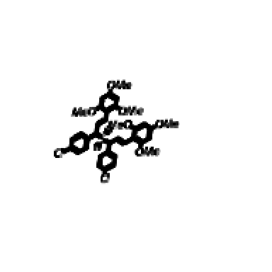 COc1cc(OC)c(C=CC(c2ccc(Cl)cc2)S(=O)(=O)C(C=Cc2c(OC)cc(OC)cc2OC)c2ccc(Cl)cc2)c(OC)c1